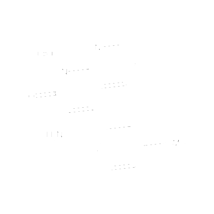 CCCCn1c(=O)c(N)c(-c2cccc(OC)c2)c2cccnc21